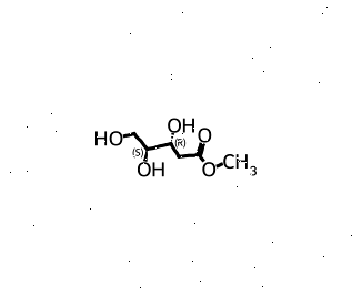 COC(=O)C[C@@H](O)[C@@H](O)CO